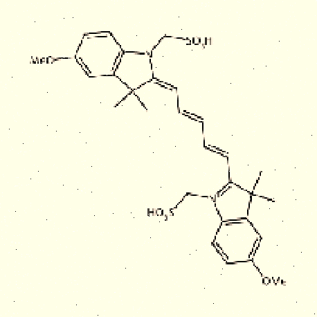 COc1ccc2c(c1)C(C)(C)C(=CC=CC=CC1=[N+](CS(=O)(=O)O)c3ccc(OC)cc3C1(C)C)N2CS(=O)(=O)O